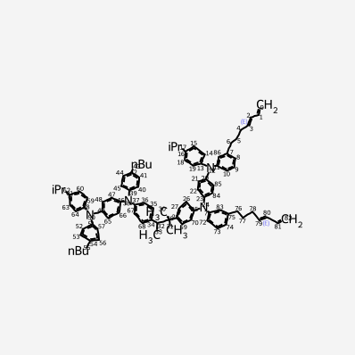 C=C/C=C/CCCc1cccc(N(c2ccc(C(C)C)cc2)c2ccc(N(c3ccc(C(C)(C)C(C)c4ccc(N(c5ccc(CCCC)cc5)c5ccc(N(c6ccc(CCCC)cc6)c6ccc(C(C)C)cc6)cc5)cc4)cc3)c3cccc(CCC/C=C/C=C)c3)cc2)c1